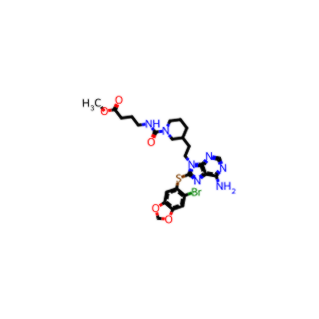 COC(=O)CCCNC(=O)N1CCCC(CCn2c(Sc3cc4c(cc3Br)OCO4)nc3c(N)ncnc32)C1